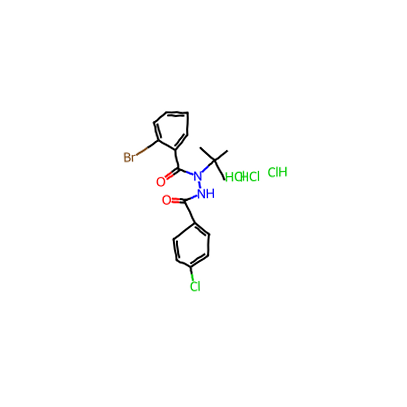 CC(C)(C)N(NC(=O)c1ccc(Cl)cc1)C(=O)c1ccccc1Br.Cl.Cl.Cl